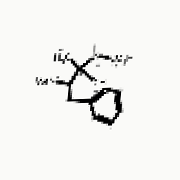 CNC(Cc1ccccc1)C(C)(C)NC(=O)O